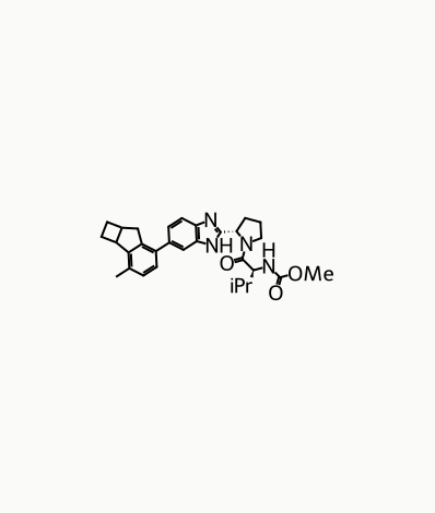 COC(=O)N[C@H](C(=O)N1CCC[C@H]1c1nc2ccc(-c3ccc(C)c4c3CC3CCC43)cc2[nH]1)C(C)C